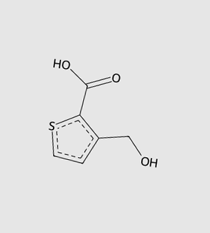 O=C(O)c1sccc1CO